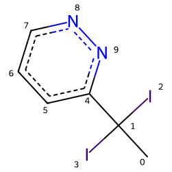 CC(I)(I)c1cccnn1